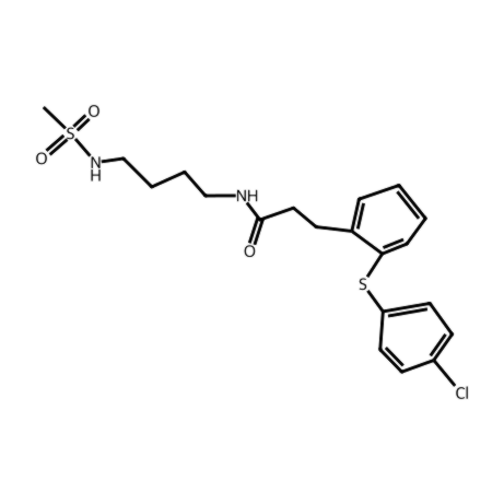 CS(=O)(=O)NCCCCNC(=O)CCc1ccccc1Sc1ccc(Cl)cc1